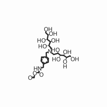 O=COC(=O)NCc1ccc(CN(C[C@H](O)[C@@H](O)[C@H](O)[C@H](O)CO)C[C@H](O)[C@@H](O)[C@H](O)[C@H](O)CO)cc1